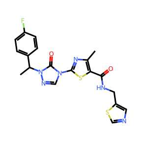 Cc1nc(-n2cnn(C(C)c3ccc(F)cc3)c2=O)sc1C(=O)NCc1cncs1